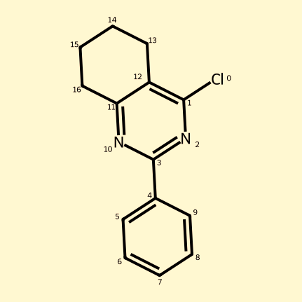 Clc1nc(-c2ccccc2)nc2c1CCCC2